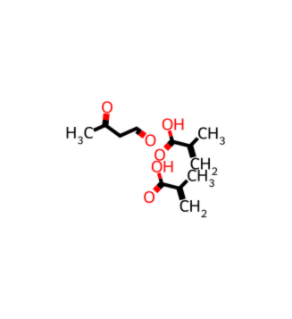 C=C(C)C(=O)O.C=C(C)C(=O)O.CC(=O)CC=O